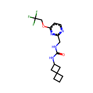 O=C(NCc1nccc(OCC(F)(F)F)n1)NC1CC2(CCC2)C1